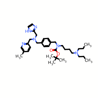 CCCN(CCC)CCCCN(Cc1ccc(CN(Cc2ccc(C)cn2)Cc2ncc[nH]2)cc1)C(=O)OC(C)(C)C